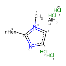 CCCCCCc1nccn1C.Cl.Cl.Cl.Cl.[AlH3]